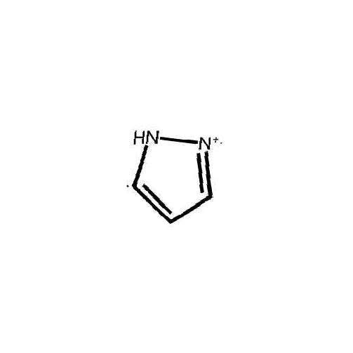 [C]1=CC=[N+]N1